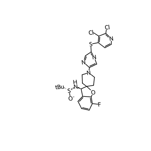 CC(C)(C)[S@@+]([O-])N[C@@H]1c2cccc(F)c2OC12CCN(c1cnc(Sc3ccnc(Cl)c3Cl)cn1)CC2